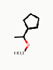 C[CH]OC(=O)OC(C)C1CCCC1